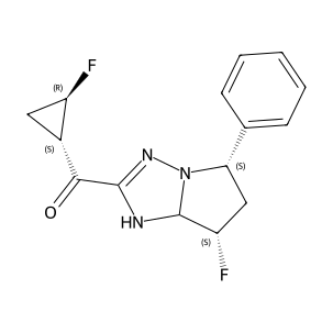 O=C(C1=NN2C(N1)[C@@H](F)C[C@H]2c1ccccc1)[C@@H]1C[C@H]1F